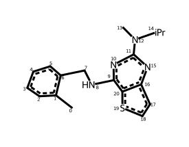 Cc1ccccc1CNc1nc(N(C)C(C)C)nc2ccsc12